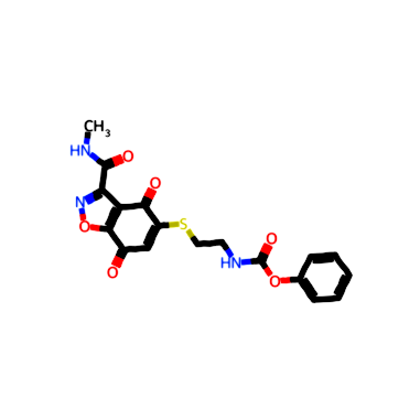 CNC(=O)c1noc2c1C(=O)C(SCCNC(=O)Oc1ccccc1)=CC2=O